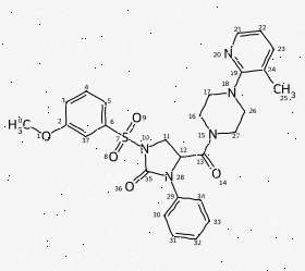 COc1cccc(S(=O)(=O)N2CC(C(=O)N3CCN(c4ncccc4C)CC3)N(c3ccccc3)C2=O)c1